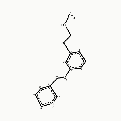 COCCc1cc[c]c(OCc2cccnc2)c1